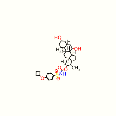 C[C@H](COC(=O)NS(=O)(=O)c1ccc(OC2CCC2)cc1)[C@H]1CC[C@H]2[C@@H]3[C@H](O)C[C@@H]4C[C@H](O)CC[C@]4(C)[C@H]3CC[C@]12C